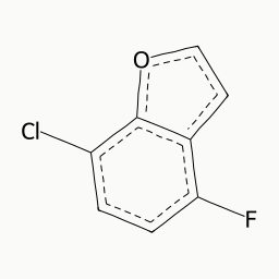 Fc1ccc(Cl)c2occc12